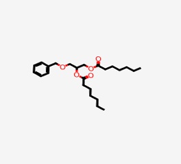 CCCCCCC(=O)OCC(COCc1ccccc1)OC(=O)CCCCCC